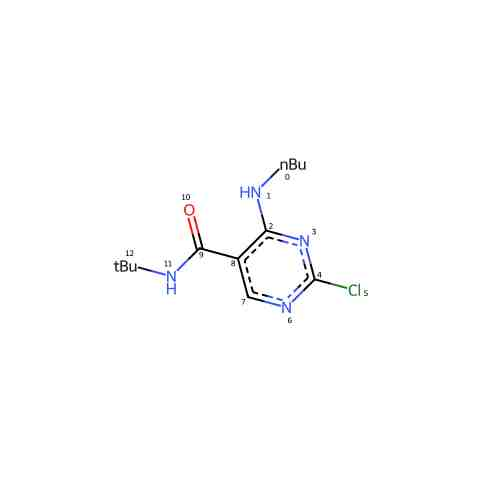 CCCCNc1nc(Cl)ncc1C(=O)NC(C)(C)C